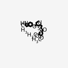 CO[C@H]1CN(C(=O)c2cc3nccc(Oc4ccc5[nH]c(C)cc5c4)c3s2)C[C@H]1OC